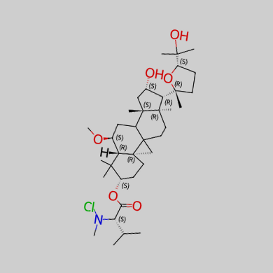 CO[C@H]1CC2C3(CC[C@]4(C)[C@@H]([C@@]5(C)CC[C@@H](C(C)(C)O)O5)[C@@H](O)C[C@@]24C)C[C@@]32CC[C@H](OC(=O)[C@H](C(C)C)N(C)Cl)C(C)(C)[C@H]12